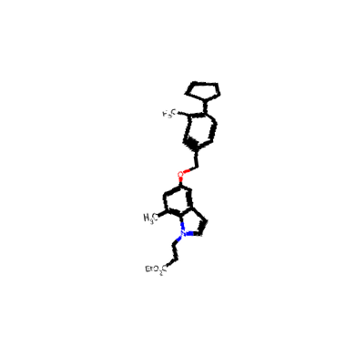 CCOC(=O)CCn1ccc2cc(OCc3ccc(C4CCCC4)c(C(F)(F)F)c3)cc(C)c21